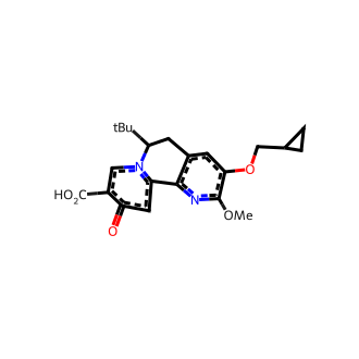 COc1nc2c(cc1OCC1CC1)CC(C(C)(C)C)n1cc(C(=O)O)c(=O)cc1-2